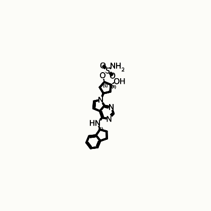 NS(=O)(=O)O[C@H]1CC(n2ccc3c(N[C@H]4CCc5ccccc54)ncnc32)C[C@H]1O